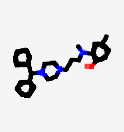 Cc1ccc(O)c(N(C)CCCN2CCN(C(c3ccccc3)c3ccccc3)CC2)c1